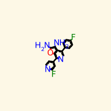 Nc1oc2c(-c3ccnc(F)c3)ncc(-c3ccc(F)cc3)c2c1N